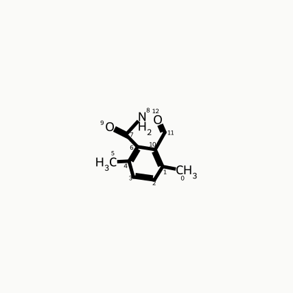 Cc1ccc(C)c(C(N)=O)c1C=O